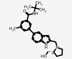 Cc1cc(C(=O)NC(C)(C)C)cc(-c2ccc3[nH]c(CN4CCC[C@@H]4CO)cc3c2)c1